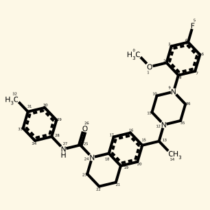 COc1cc(F)ccc1N1CCN(C(C)c2ccc3c(c2)CCCN3C(=O)Nc2ccc(C)cc2)CC1